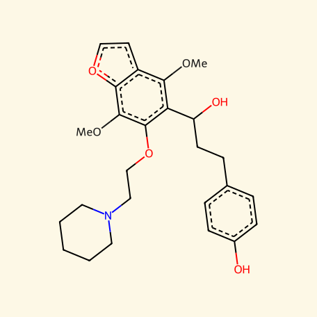 COc1c(C(O)CCc2ccc(O)cc2)c(OCCN2CCCCC2)c(OC)c2occc12